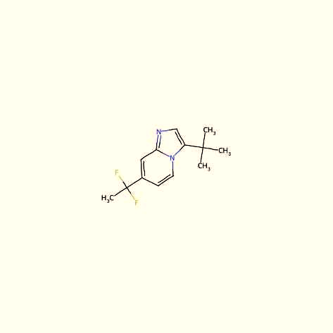 CC(C)(C)c1cnc2cc(C(C)(F)F)ccn12